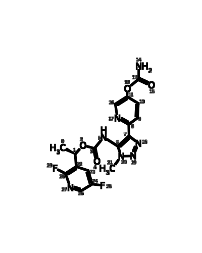 C[C@@H](OC(=O)Nc1c(-c2ccc(OC(N)=O)cn2)nnn1C)c1cc(F)cnc1F